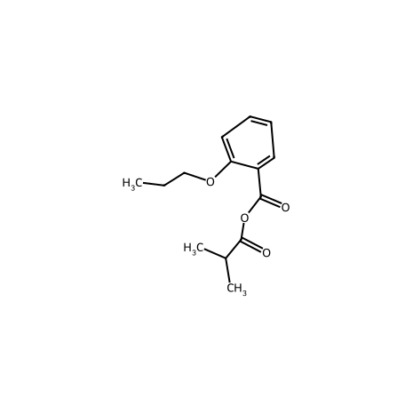 CCCOc1ccccc1C(=O)OC(=O)C(C)C